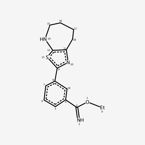 CCOC(=N)c1cccc(-c2nc3c(s2)NCCCC3)c1